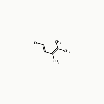 CCC=CC(C)=C(C)C